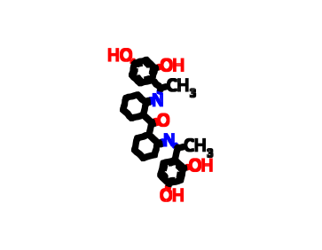 CC(N=C1CCCCC1C(=O)C1CCCCC1=NC(C)c1ccc(O)cc1O)c1ccc(O)cc1O